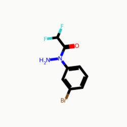 NN(C(=O)C(F)F)c1cccc(Br)c1